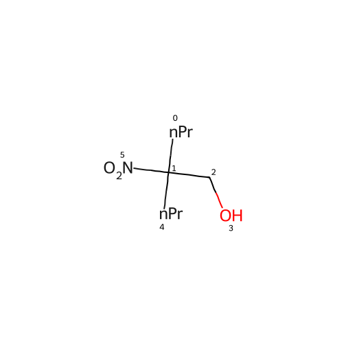 CCCC(CO)(CCC)[N+](=O)[O-]